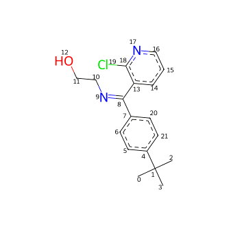 CC(C)(C)c1ccc(C(=NCCO)c2cccnc2Cl)cc1